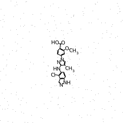 COc1cc(-n2cc(C)c(Nc3ccc4[nH]ncc4c3Cl)n2)ccc1C(=O)O